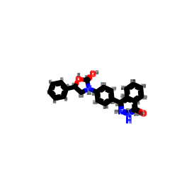 O=C1OC(c2ccccc2)CN1c1ccc(-c2n[nH]c(=O)c3ccccc23)cc1